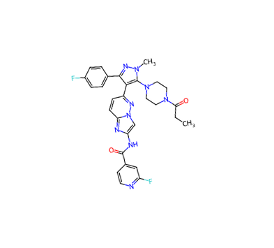 CCC(=O)N1CCN(c2c(-c3ccc4nc(NC(=O)c5ccnc(F)c5)cn4n3)c(-c3ccc(F)cc3)nn2C)CC1